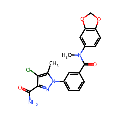 Cc1c(Cl)c(C(N)=O)nn1-c1cccc(C(=O)N(C)c2ccc3c(c2)OCO3)c1